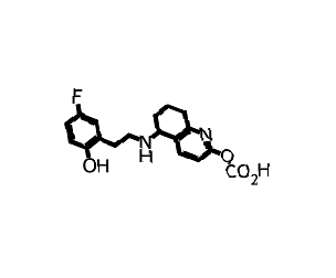 O=C(O)Oc1ccc2c(n1)CCCC2NCCc1cc(F)ccc1O